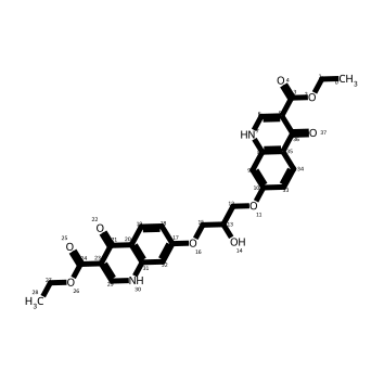 CCOC(=O)c1c[nH]c2cc(OCC(O)COc3ccc4c(=O)c(C(=O)OCC)c[nH]c4c3)ccc2c1=O